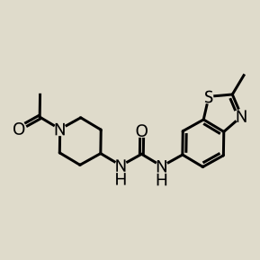 CC(=O)N1CCC(NC(=O)Nc2ccc3nc(C)sc3c2)CC1